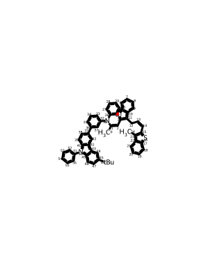 C/C(=C/c1sc2ccccc2c1C/C=C\c1sc2ccccc2c1C)N(c1ccccc1)c1cccc(-c2ccc3c(c2)c2cc(C(C)(C)C)ccc2n3-c2ccccc2)c1